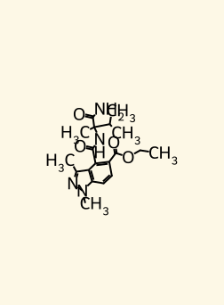 CCOC(=O)c1ccc2c(c(C)nn2C)c1C(=O)NC(C)(C(N)=O)C(C)C